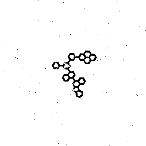 C1=CC2=CCc3cc(-c4cccc(-c5nc(-c6ccccc6)nc(-c6ccc(-c7nc8oc9ccccc9c8c8ccccc78)c7ccccc67)n5)c4)cc4c3C2C(=C1)C=C4